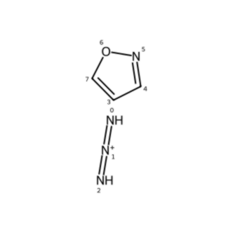 N=[N+]=N.c1cnoc1